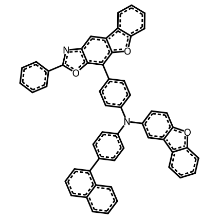 c1ccc(-c2nc3cc4c(oc5ccccc54)c(-c4ccc(N(c5ccc(-c6cccc7ccccc67)cc5)c5ccc6oc7ccccc7c6c5)cc4)c3o2)cc1